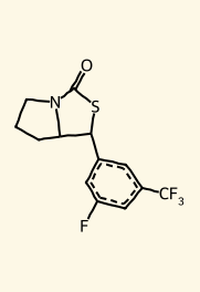 O=C1SC(c2cc(F)cc(C(F)(F)F)c2)C2CCCN12